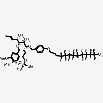 COc1ccc(CO[C@H]([C@@H](C)[C@@H](CCCO[Si](C)(C)C(C)(C)C)OCc2ccc(OCCCC(F)(F)C(F)(F)C(F)(F)C(F)(F)C(F)(F)C(F)(F)C(F)(F)C(F)(F)C(F)(F)C(F)(F)F)cc2)[C@@H](C)C=CI)cc1OC